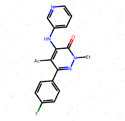 CCn1nc(-c2ccc(F)cc2)c(C(C)=O)c(Nc2cccnc2)c1=O